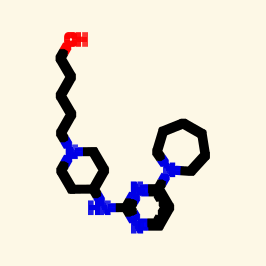 OCCCCCN1CCC(Nc2nccc(N3CCCCCC3)n2)CC1